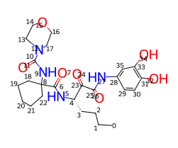 CCCC[C@H](NC(=O)C1(NC(=O)N2CCOCC2)CCCCC1)C(=O)C(=O)Nc1ccc(O)c(O)c1